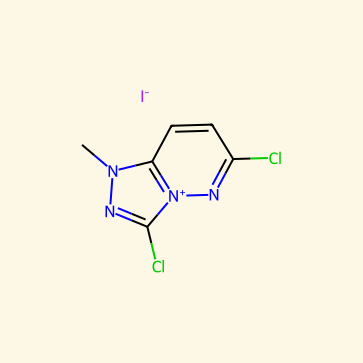 Cn1nc(Cl)[n+]2nc(Cl)ccc12.[I-]